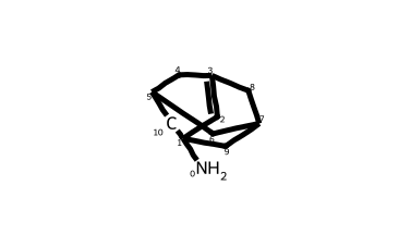 NC12C=C3CC(CC(C3)C1)C2